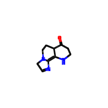 O=C1CCNC2=C3N=CCN3CCC12